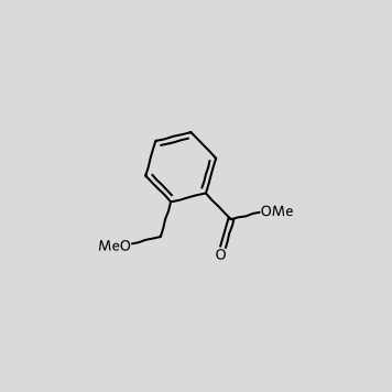 COCc1ccccc1C(=O)OC